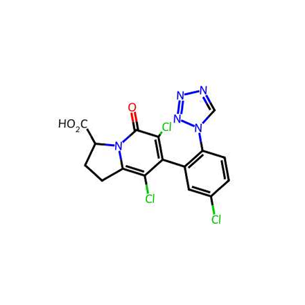 O=C(O)C1CCc2c(Cl)c(-c3cc(Cl)ccc3-n3cnnn3)c(Cl)c(=O)n21